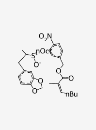 CCCC/C=C(/C)C(=O)OCc1ccc([N+](=O)[O-])cc1.CCCCCCCC[S+]([O-])C(C)Cc1ccc2c(c1)OCO2